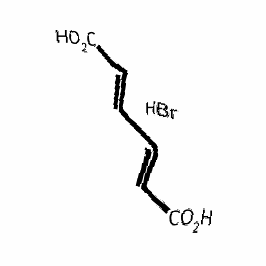 Br.O=C(O)/C=C/C=C/C(=O)O